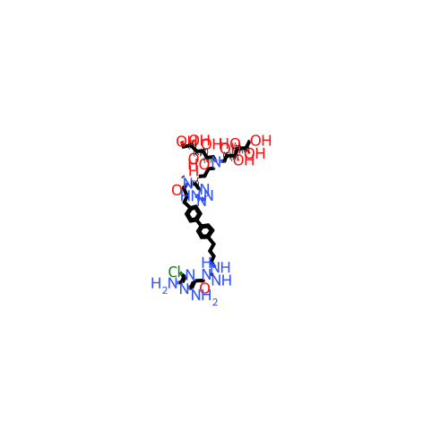 CN(C(=O)CCc1ccc(-c2ccc(CCCCNC(=N)NC(=O)c3nc(Cl)c(N)nc3N)cc2)cc1)[C@H](CCCCN(C[C@H](O)[C@@H](O)[C@H](O)[C@H](O)CO)C[C@H](O)[C@@H](O)[C@H](O)[C@H](O)CO)c1nnn[nH]1